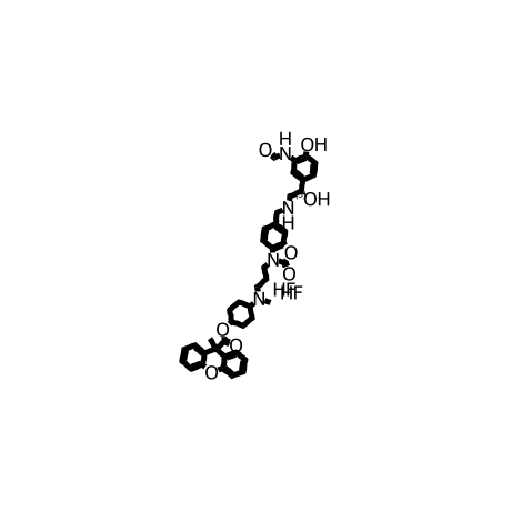 CN(CCCn1c(=O)oc2cc(CNC[C@@H](O)c3ccc(O)c(NC=O)c3)ccc21)C1CCC(OC(=O)C2(C)c3ccccc3Oc3ccccc32)CC1.F.F